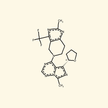 Cc1nc2c(c(C(F)(F)F)n1)CN(c1ncnn3c(C)nc([C@@H]4CCCO4)c13)CC2